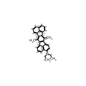 CCN(CC)c1ccc2c3c(C)c4c5cccc6cccc(c4c(C)c3c3cccc1c32)c65